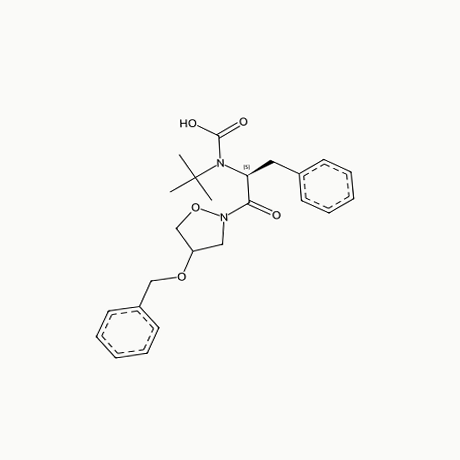 CC(C)(C)N(C(=O)O)[C@@H](Cc1ccccc1)C(=O)N1CC(OCc2ccccc2)CO1